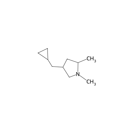 CC1CC(CC2CC2)CN1C